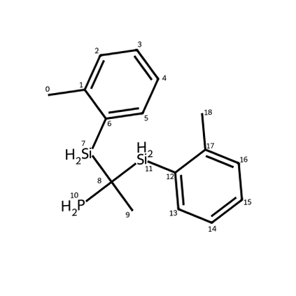 Cc1ccccc1[SiH2]C(C)(P)[SiH2]c1ccccc1C